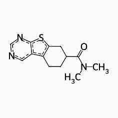 CN(C)C(=O)C1CCc2c(sc3ncncc23)C1